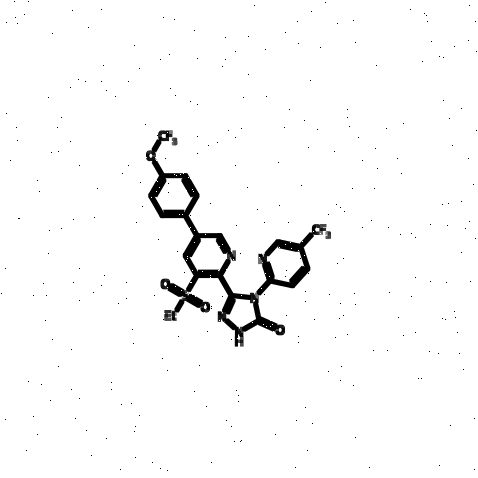 CCS(=O)(=O)c1cc(-c2ccc(OC(F)(F)F)cc2)cnc1-c1n[nH]c(=O)n1-c1ccc(C(F)(F)F)cn1